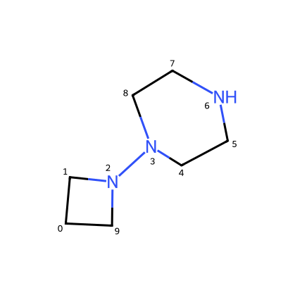 C1CN(N2CCNCC2)C1